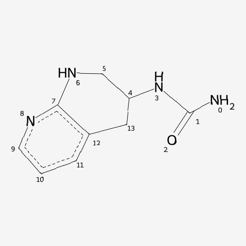 NC(=O)NC1CNc2ncccc2C1